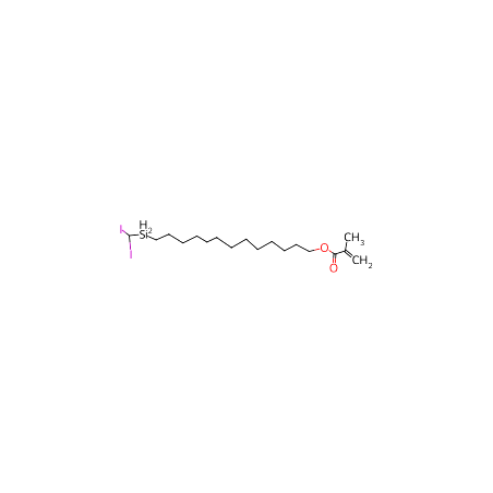 C=C(C)C(=O)OCCCCCCCCCCCCC[SiH2]C(I)I